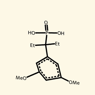 CCC(CC)(c1cc(OC)cc(OC)c1)P(=O)(O)O